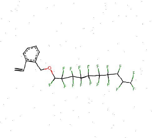 C=Cc1ccccc1COC(F)C(F)(F)C(F)(F)C(F)(F)C(F)(F)C(F)(F)C(F)(F)C(F)C(F)C(F)F